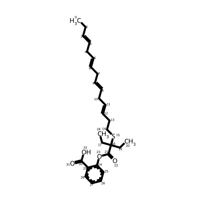 CCC=CCC=CCC=CCC=CCCSC(CC)(CC)C(=O)Oc1ccccc1C(=O)O